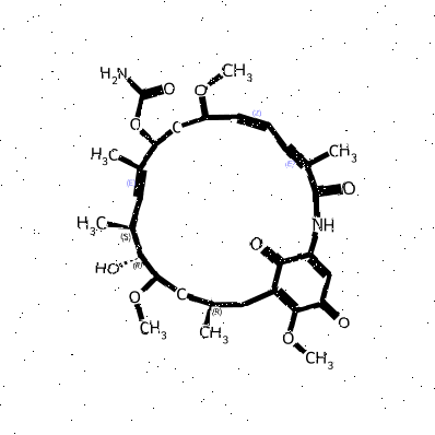 COC1=C2C[C@@H](C)CC(OC)[C@H](O)[C@@H](C)/C=C(\C)C(OC(N)=O)CC(OC)/C=C\C=C(/C)C(=O)NC(=CC1=O)C2=O